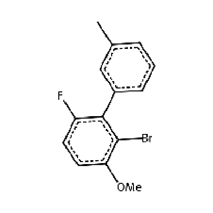 COc1ccc(F)c(-c2cccc(C)c2)c1Br